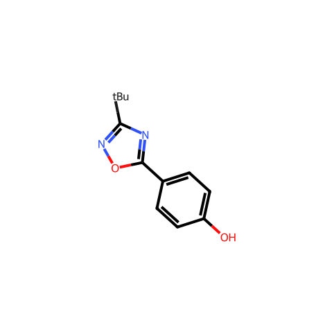 CC(C)(C)c1noc(-c2ccc(O)cc2)n1